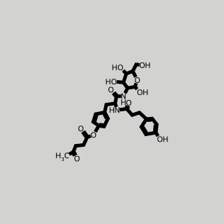 CC(=O)CCC(=O)Oc1ccc(CC(NC(=O)CCc2ccc(O)cc2)C(=O)NC2C(O)OC(CO)C(O)C2O)cc1